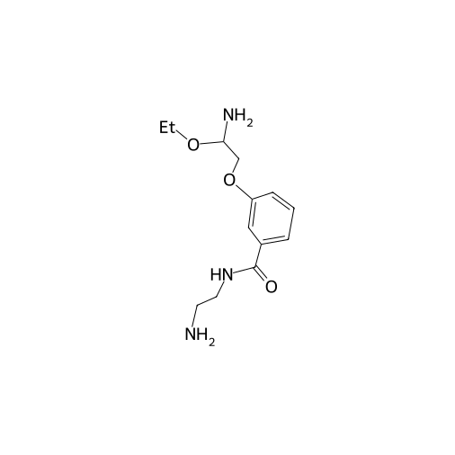 CCOC(N)COc1cccc(C(=O)NCCN)c1